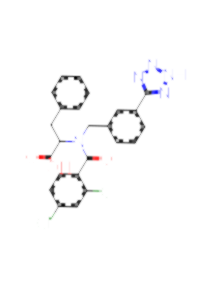 O=C(O)C(Cc1ccccc1)N(Cc1cccc(-c2nn[nH]n2)c1)C(=O)c1ccc(Cl)cc1Cl